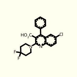 O=C(O)c1c(N2CCC(F)(F)CC2)nc2ccc(Cl)cc2c1-c1ccccc1